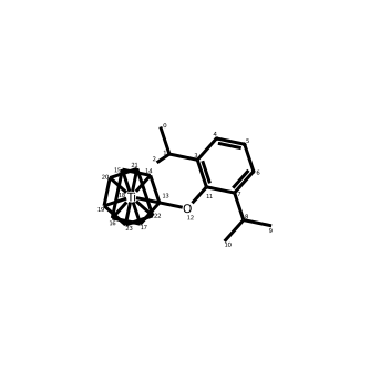 CC(C)c1cccc(C(C)C)c1O[C]12[CH]3[CH]4[CH]5[CH]1[Ti]45321678[CH]2[CH]1[CH]6[CH]7[CH]28